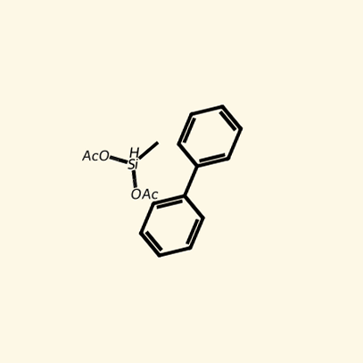 CC(=O)O[SiH](C)OC(C)=O.c1ccc(-c2ccccc2)cc1